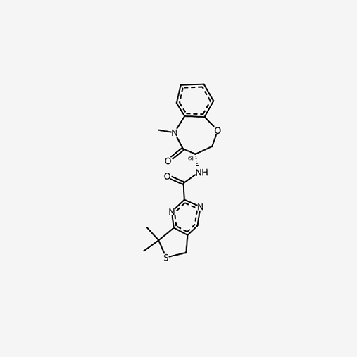 CN1C(=O)[C@@H](NC(=O)c2ncc3c(n2)C(C)(C)SC3)COc2ccccc21